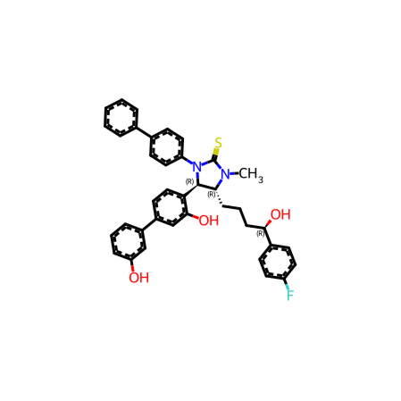 CN1C(=S)N(c2ccc(-c3ccccc3)cc2)[C@H](c2ccc(-c3cccc(O)c3)cc2O)[C@H]1CCC[C@@H](O)c1ccc(F)cc1